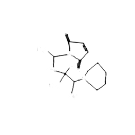 CC(NC(C)(C)C(O)N1CCCCC1)N1C(=O)C=CC1=O